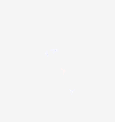 CN(C)CCCOc1ccc2nc(-c3ccc(C=O)cc3)[nH]c2c1